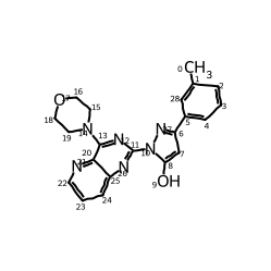 Cc1cccc(-c2cc(O)n(-c3nc(N4CCOCC4)c4ncccc4n3)n2)c1